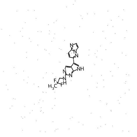 CC(F)(F)CNc1ncc2c(-c3ccc4nccn4n3)c[nH]c2n1